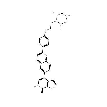 CC(=O)N1C[C@@H](C)N(CCOc2ccc(-c3ccc4cc(-c5cn(C)c(=O)c6[nH]ccc56)ccc4n3)cc2)[C@@H](C)C1